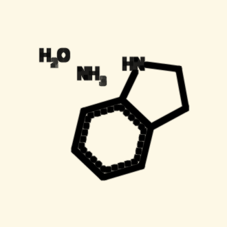 N.O.c1ccc2c(c1)CCN2